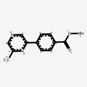 CC(C)(C)OC(=O)c1ccc(-c2cncc(C(F)(F)F)n2)cc1